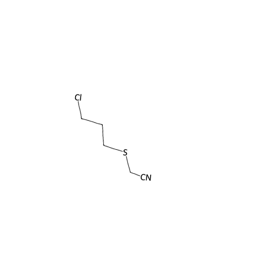 N#CCSCCCCl